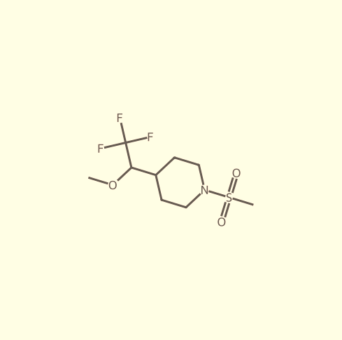 COC(C1CCN(S(C)(=O)=O)CC1)C(F)(F)F